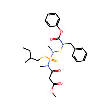 CCC(C)CSP(=S)(N(C)SN(Cc1ccccc1)C(=O)Oc1ccccc1)N(C)C(=O)CC(=O)OC